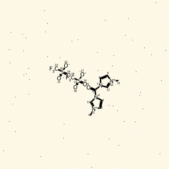 C[n+]1ccn(C(=O)n2cc[n+](C)c2)c1.O=S(=O)([O-])C(F)(F)F.O=S(=O)([O-])C(F)(F)F